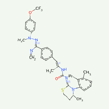 C=N/C(=N\N(C)c1ccc(OC(F)(F)F)cc1)c1ccc(/C=C(\C)NC(=O)/N=C2\SCCC(C)N2c2cccc(C)c2C(C)C)cc1